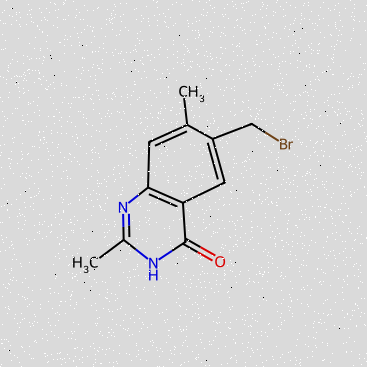 Cc1nc2cc(C)c(CBr)cc2c(=O)[nH]1